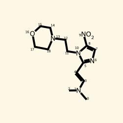 CN(C)C=Cc1ncc([N+](=O)[O-])n1CCN1CCOCC1